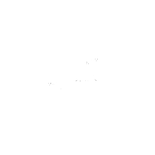 CON=C1C[C@@H](c2ccccc2)O[C@@H](c2ccc(C(=O)OC)cc2)C1